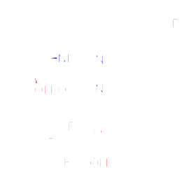 O=C(N[C@@H]1c2ccccc2C[C@@H]1O)c1nc(-c2ccc(F)cc2)c2ccccn12.O=C(O)C(F)(F)F